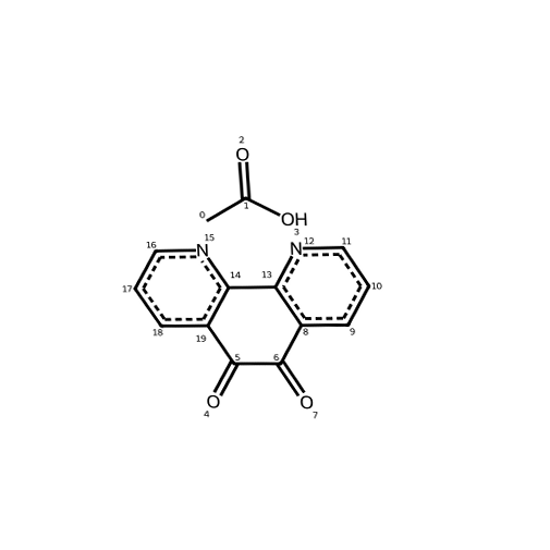 CC(=O)O.O=C1C(=O)c2cccnc2-c2ncccc21